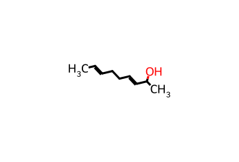 CC=CCC/C=C/C(C)O